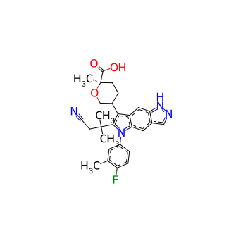 Cc1cc(-n2c(C(C)(C)CC#N)c(C3CC[C@](C)(C(=O)O)OC3)c3cc4[nH]ncc4cc32)ccc1F